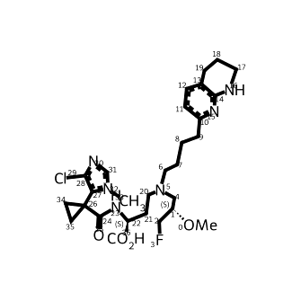 CO[C@H](CF)CN(CCCCc1ccc2c(n1)NCCC2)CC[C@H](NC(=O)C1(c2c(Cl)ncn2C)CC1)C(=O)O